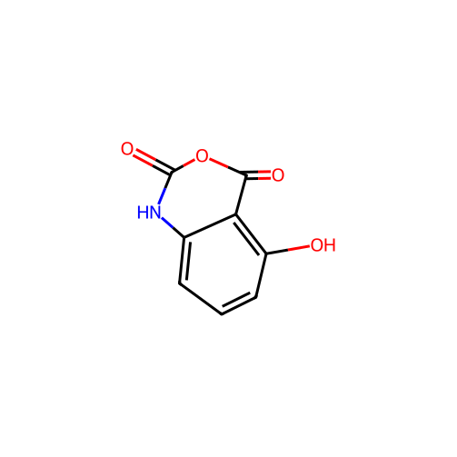 O=c1[nH]c2cccc(O)c2c(=O)o1